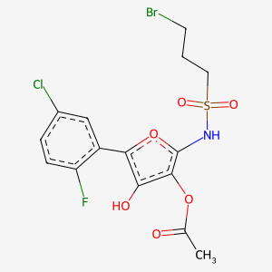 CC(=O)Oc1c(NS(=O)(=O)CCCBr)oc(-c2cc(Cl)ccc2F)c1O